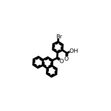 O=C(O)c1cc(Br)ccc1C(=O)c1cc2ccccc2c2ccccc12